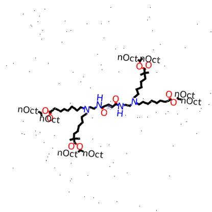 CCCCCCCCC(CCCCCCCC)OC(=O)CCCCCCCN(CCCCCCC(C)(C)C(=O)OC(CCCCCCCC)CCCCCCCC)CCNC(=O)/C=C/C(=O)NCCN(CCCCCCCC(=O)OC(CCCCCCCC)CCCCCCCC)CCCCCCC(C)(C)C(=O)OC(CCCCCCCC)CCCCCCCC